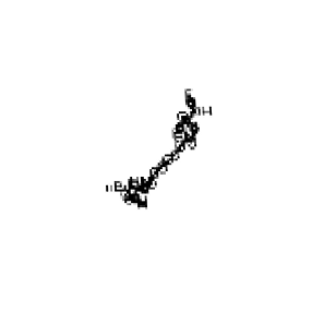 CCCCC1(CC)CS(=O)(=O)c2ccc(N(C)C)cc2C(c2cccc(NC(=O)CCOCCOCCOCCOCCOCCC(=O)NCc3cccc(C4C(CCC(O)c5ccc(F)cc5)C(=O)N4c4ccc(F)cc4)c3)c2)C1O